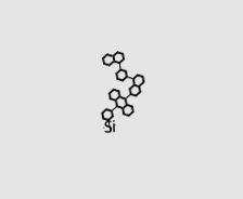 C[Si](C)(C)c1cccc(-c2c3ccccc3c(-c3ccc4cccc(-c5cccc(-c6cccc7ccccc67)c5)c4c3)c3ccccc23)c1